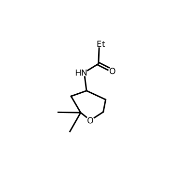 CCC(=O)NC1CCOC(C)(C)C1